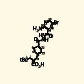 CC(C)(C)CN(Cc1ccc(C(=O)NNC(=O)c2nc(Br)cnc2N)cc1)C(=O)O